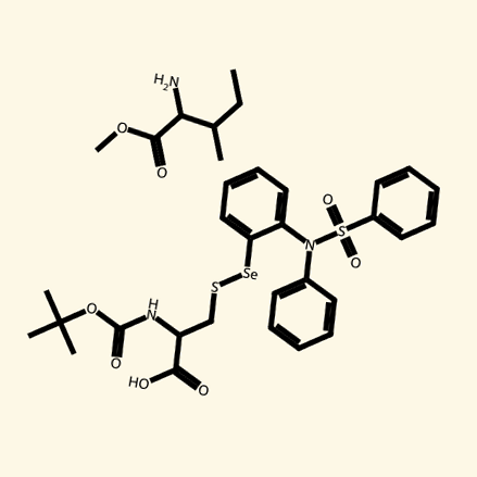 CC(C)(C)OC(=O)NC(CS[Se]c1ccccc1N(c1ccccc1)S(=O)(=O)c1ccccc1)C(=O)O.CCC(C)C(N)C(=O)OC